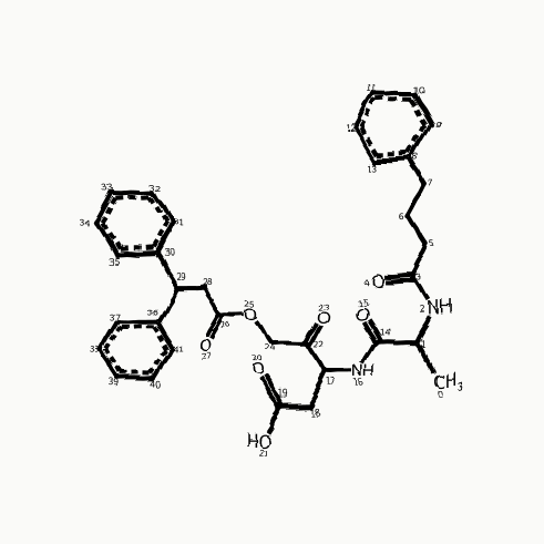 CC(NC(=O)CCCc1ccccc1)C(=O)NC(CC(=O)O)C(=O)COC(=O)CC(c1ccccc1)c1ccccc1